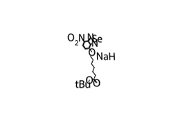 CC(C)(C)OC(=O)CCCCCCOc1ccc([N+](=O)[O-])c2n[se]nc12.[NaH]